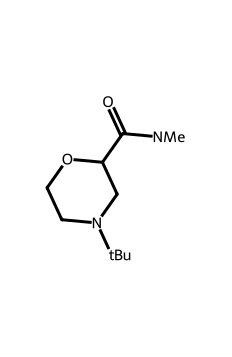 CNC(=O)C1CN(C(C)(C)C)CCO1